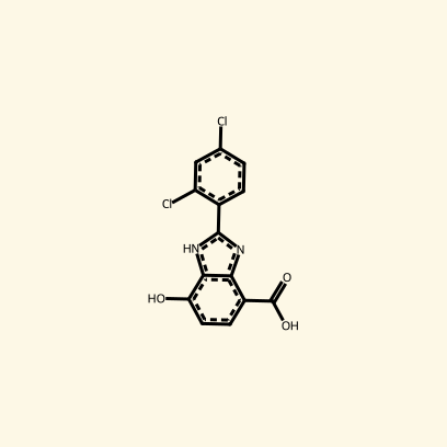 O=C(O)c1ccc(O)c2[nH]c(-c3ccc(Cl)cc3Cl)nc12